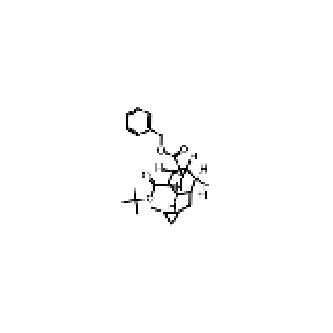 C[C@@H]1CC1C[C@@H]1[C@H](F)[C@H]2CC[C@@H]1N(C(=O)OC(C)(C)C)[C@@H]2C(=O)OCc1ccccc1